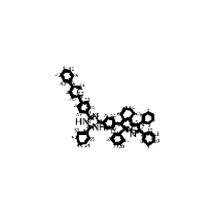 C1=CCCC(c2c(-c3ccccc3)nn3c(-c4ccccc4)c(-c4ccc(C5N=C(c6ccc(-c7ccc(-c8ccccc8)cc7)cc6)NC(C6=CCCC=C6)N5)cc4)c4c(c23)CCC=C4)=C1